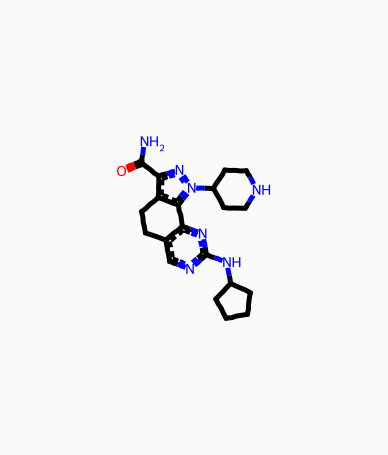 NC(=O)c1nn(C2CCNCC2)c2c1CCc1cnc(NC3CCCC3)nc1-2